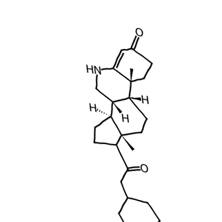 C[C@]12CCC(=O)C=C1NC[C@@H]1[C@H]2CC[C@]2(C)C(C(=O)CC3CCCCC3)CC[C@@H]12